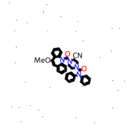 COC1=Cc2ccccc2N(C(=O)N2CCN(C(=O)N(c3ccccc3)c3ccccc3)C[C@H]2C#N)c2ccccc21